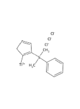 C[Si](C)(C1=[C]([Ti+3])CC=C1)c1ccccc1.[Cl-].[Cl-].[Cl-]